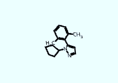 Cc1cccc(C)c1-c1ccnn1C1CCCC1